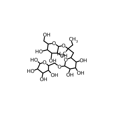 CCC(C)(CC1OC(OCC2OC(O)C(O)C(O)C2O)C(O)C(O)C1O)OC1OC(CO)C(O)C(O)C1O